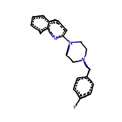 Fc1ccc(CN2CCN(c3ccc4ccccc4n3)CC2)cc1